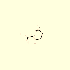 C[C@H](O)[C@H]1O[C@@H](O)[C@H](O)[C@@H](O)[C@@H]1O